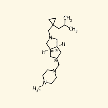 CC(C)CC1(CN2C[C@H]3C[C@@H](CN4CCN(C)CC4)C[C@H]3C2)CC1